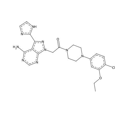 CCOc1cc(N2CCN(C(=O)Cn3nc(-c4ncc[nH]4)c4c(N)ncnc43)CC2)ccc1Cl